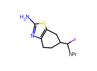 CCCC(I)C1CCc2nc(N)sc2C1